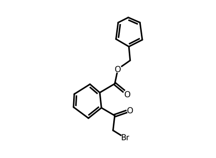 O=C(CBr)c1ccccc1C(=O)OCc1ccccc1